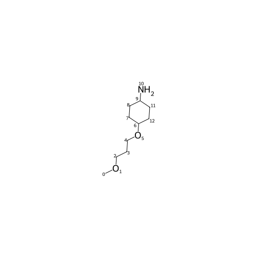 COCCCOC1CCC(N)CC1